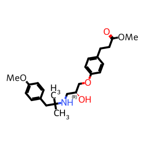 COC(=O)CCc1ccc(OC[C@H](O)CNC(C)(C)Cc2ccc(OC)cc2)cc1